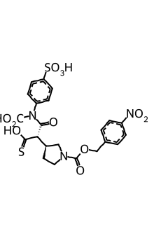 O=C(OCc1ccc([N+](=O)[O-])cc1)N1CC[C@@H]([C@@H](C(=O)N(C(=O)O)c2ccc(S(=O)(=O)O)cc2)C(O)=S)C1